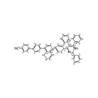 N#Cc1ccc(-c2ccc(-c3ccc(C4=CCC(C5=NC(c6ccccc6)NC(c6ccccc6)=C5c5ccccc5)C=C4)c4c3CCC=C4)cc2)cc1